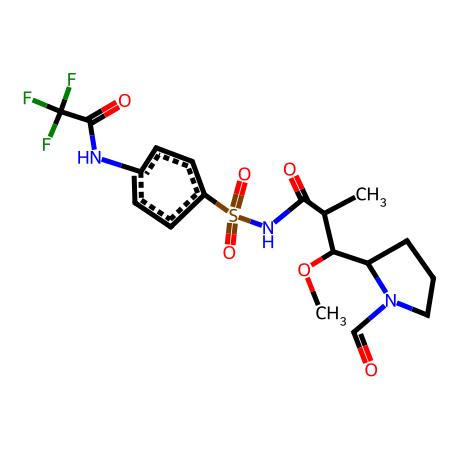 COC(C(C)C(=O)NS(=O)(=O)c1ccc(NC(=O)C(F)(F)F)cc1)C1CCCN1C=O